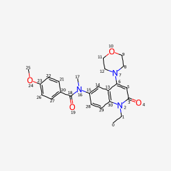 CCn1c(=O)cc(N2CCOCC2)c2cc(N(C)C(=O)c3ccc(OC)cc3)ccc21